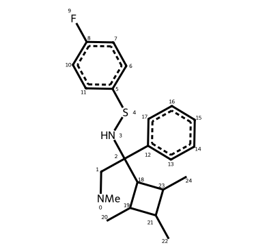 CNCC(NSc1ccc(F)cc1)(c1ccccc1)C1C(C)C(C)C1C